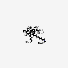 CCCCCCCC/C=C\CCCCCCCC(=O)N(CCCCCCCCCCCCCC)[C@@]1(NC(=O)[C@H](CC(C)C)NC(=O)[C@H](C)N)C[C@@H](O)[C@H](O)[C@@H](CO)O1